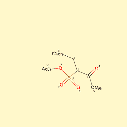 CCCCCCCCCCC(C(=O)OC)S(=O)(=O)OOC(C)=O